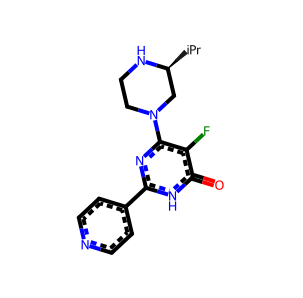 CC(C)[C@H]1CN(c2nc(-c3ccncc3)[nH]c(=O)c2F)CCN1